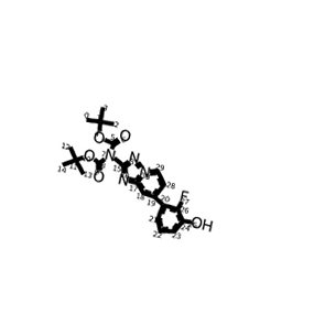 CC(C)(C)OC(=O)N(C(=O)OC(C)(C)C)c1nc2cc(-c3cccc(O)c3F)ccn2n1